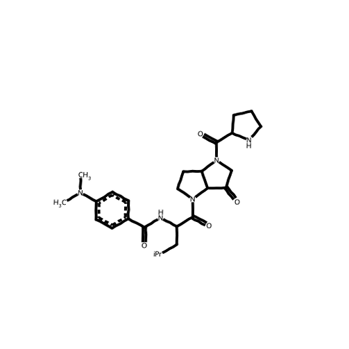 CC(C)CC(NC(=O)c1ccc(N(C)C)cc1)C(=O)N1CCC2C1C(=O)CN2C(=O)C1CCCN1